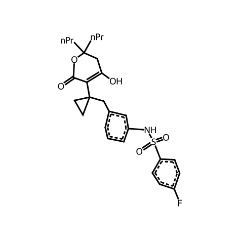 CCCC1(CCC)CC(O)=C(C2(Cc3cccc(NS(=O)(=O)c4ccc(F)cc4)c3)CC2)C(=O)O1